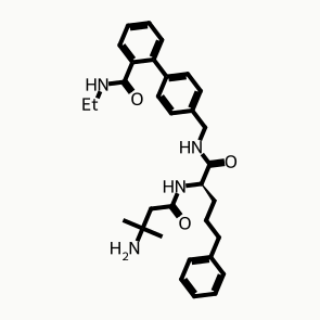 CCNC(=O)c1ccccc1-c1ccc(CNC(=O)[C@@H](CCCc2ccccc2)NC(=O)CC(C)(C)N)cc1